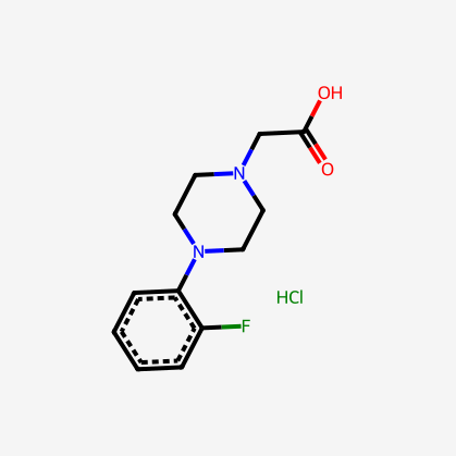 Cl.O=C(O)CN1CCN(c2ccccc2F)CC1